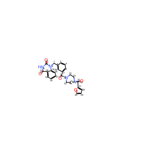 O=C(c1cccc(Cn2c(=O)[nH]c(=O)c3ccccc32)c1)N1CCN(C(=O)c2ccco2)CC1